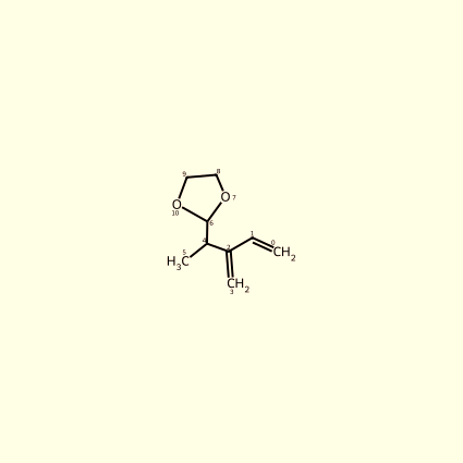 C=CC(=C)C(C)C1OCCO1